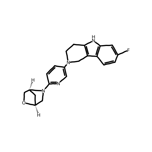 Fc1ccc2c3c([nH]c2c1)CCN(c1ccc(N2C[C@@H]4C[C@H]2CO4)nc1)C3